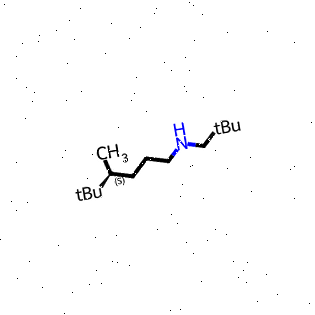 C[C@@H](CCCNCC(C)(C)C)C(C)(C)C